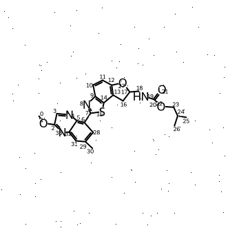 COc1cnc2c(-c3nc4ccc5c(c4s3)CC(CNC(=O)OCC(C)C)O5)cc(C)cc2n1